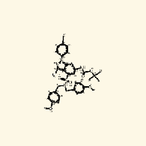 COc1ccc(CN(Cc2ccc(OC)cc2)S(=O)(=O)c2cc(NC(=O)OC(C)(C)C)cc3c2c(Cl)nn3-c2ccc(F)cc2)cc1